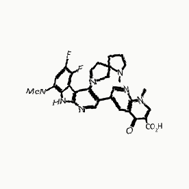 CNc1cc(F)c(F)c2c1[nH]c1ncc(-c3cnc4c(c3)c(=O)c(C(=O)O)cn4C)c(N3CCC4(CCCN4C)C3)c12